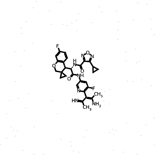 CC(=N)/C(=C(/C)N)c1ncc(NC(=O)[C@@H](NC(=O)c2nonc2C2CC2)C2c3ccc(F)cc3OCC23CC3)cc1F